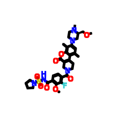 COC[C@H]1CN(c2cc(C)c3c4c(c(=O)oc3c2C)CN(C(=O)c2ccc(C(=O)NS(=O)(=O)N3CCCC3)c(OC)c2F)CC4)CCN1C